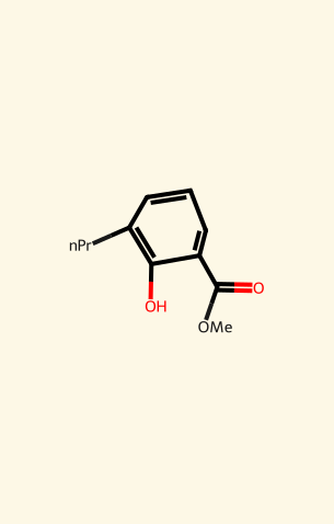 CCCc1cccc(C(=O)OC)c1O